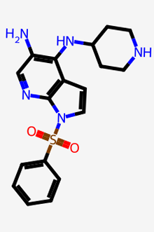 Nc1cnc2c(ccn2S(=O)(=O)c2ccccc2)c1NC1CCNCC1